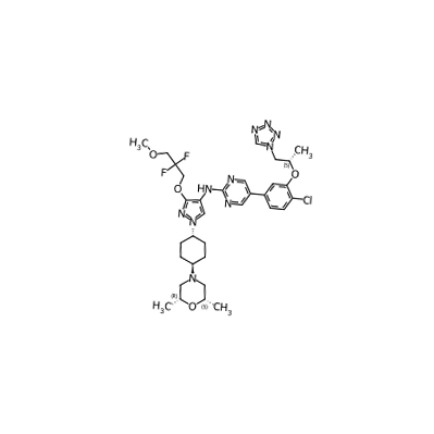 COCC(F)(F)COc1nn([C@H]2CC[C@H](N3C[C@@H](C)O[C@@H](C)C3)CC2)cc1Nc1ncc(-c2ccc(Cl)c(O[C@@H](C)Cn3cnnn3)c2)cn1